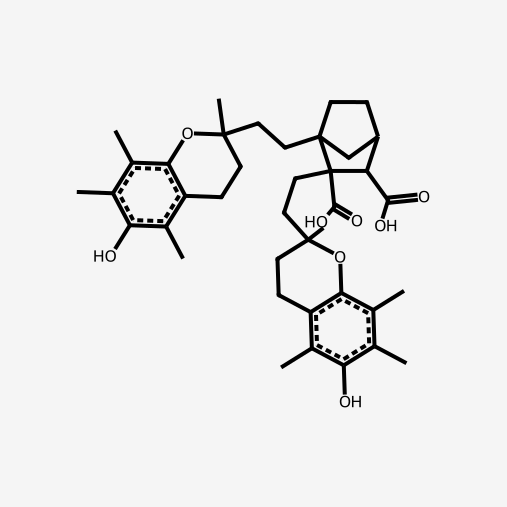 Cc1c(C)c2c(c(C)c1O)CCC(C)(CCC13CCC(C1)C(C(=O)O)C3(CCC1(C)CCc3c(C)c(O)c(C)c(C)c3O1)C(=O)O)O2